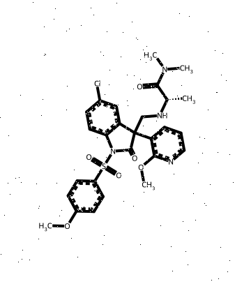 COc1ccc(S(=O)(=O)N2C(=O)C(CN[C@@H](C)C(=O)N(C)C)(c3cccnc3OC)c3cc(Cl)ccc32)cc1